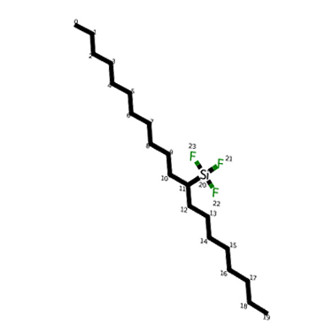 CCCCCCCCCCCC(CCCCCCCC)[Si](F)(F)F